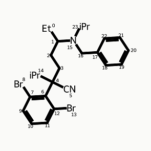 CCC(CCC(C#N)(c1c(Br)cccc1Br)C(C)C)N(Cc1ccccc1)C(C)C